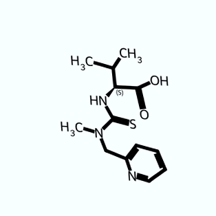 CC(C)[C@H](NC(=S)N(C)Cc1ccccn1)C(=O)O